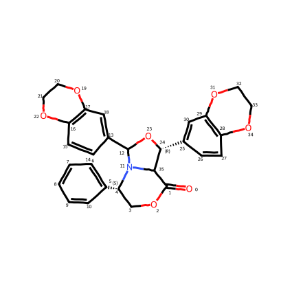 O=C1OC[C@H](c2ccccc2)N2C(c3ccc4c(c3)OCCO4)O[C@H](c3ccc4c(c3)OCCO4)C12